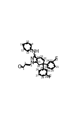 O=CC=Cn1nc(Nc2ccccc2)c2c1CC(c1cccc(F)c1)(c1cccc(F)c1)C=C2